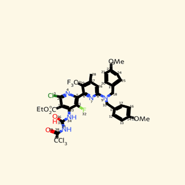 CCOC(=O)c1c(Cl)nc(-c2nc(N(Cc3ccc(OC)cc3)Cc3ccc(OC)cc3)cc(C)c2C(F)(F)F)c(F)c1NC(O)NC(=O)C(Cl)(Cl)Cl